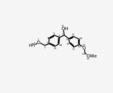 CCCOCc1ccc(C(O)c2ccc(OCOC)cc2)cc1